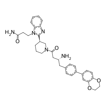 NC(=O)CCn1c([C@@H]2CCCN(C(=O)C[C@H](N)Cc3ccc(-c4ccc5c(c4)OCCO5)cc3)C2)nc2ccccc21